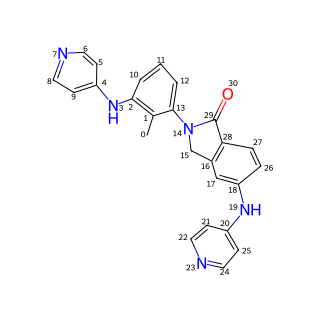 Cc1c(Nc2ccncc2)cccc1N1Cc2cc(Nc3ccncc3)ccc2C1=O